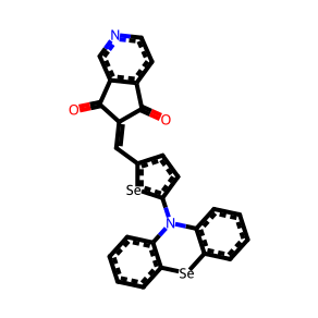 O=C1/C(=C\c2ccc(N3c4ccccc4[Se]c4ccccc43)[se]2)C(=O)c2cnccc21